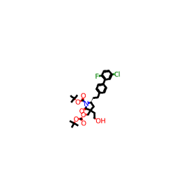 CC(C)(C)OC(=O)OCC1(CCO)C[C@@H](CCc2ccc(-c3cc(Cl)ccc3F)cc2)N(C(=O)OC(C)(C)C)C1=O